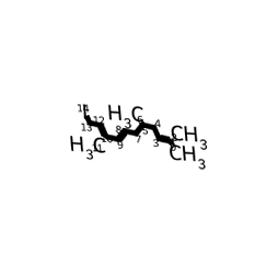 CC(C)=CCC(C)CC=CC(C)=CCI